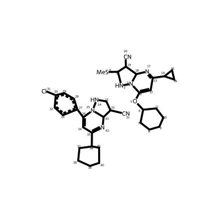 CSC1NN2C(OC3CCCCC3)=CC(C3CC3)=NC2C1C#N.N#CC1CNN2C(c3ccc(Cl)cc3)=CC(C3CCCCC3)=NC12